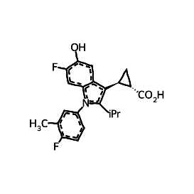 Cc1cc(-n2c(C(C)C)c([C@H]3C[C@@H]3C(=O)O)c3cc(O)c(F)cc32)ccc1F